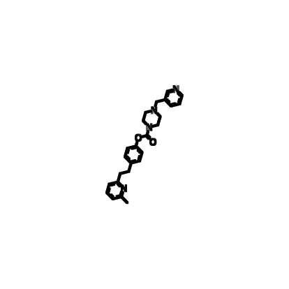 Cc1cccc(CCc2ccc(OC(=O)N3CCN(Cc4cccnc4)CC3)cc2)n1